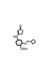 COc1ccc(NC2=CC(=O)CC2)cc1OCC1CCC1